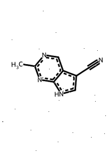 Cc1ncc2c(C#N)c[nH]c2n1